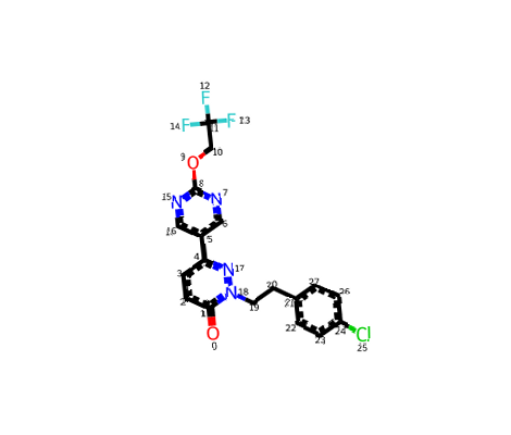 O=c1ccc(-c2cnc(OCC(F)(F)F)nc2)nn1CCc1ccc(Cl)cc1